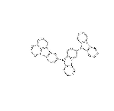 c1cc2c3c(nccc3c1)-c1ccc(-n3c4ccccc4c4cc(-n5c6ccccc6c6ccccc65)ccc43)cc1-2